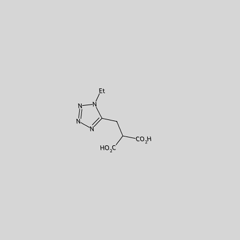 CCn1nnnc1CC(C(=O)O)C(=O)O